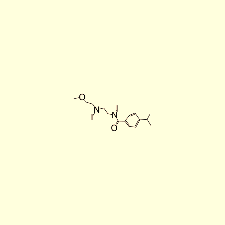 COCCN(I)CCN(I)C(=O)c1ccc(C(C)C)cc1